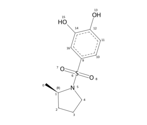 C[C@@H]1CCCN1S(=O)(=O)c1ccc(O)c(O)c1